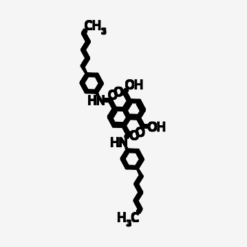 CCCCCC[C@H]1CC[C@H](NC(=O)c2ccc(C(=O)N[C@H]3CC[C@H](CCCCCC)CC3)c3c(C(=O)O)ccc(C(=O)O)c23)CC1